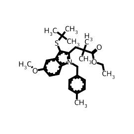 CCOC(=O)C(C)(C)Cc1c(SC(C)(C)C)c2cc(OC)ccc2n1Cc1ccc(C)cc1